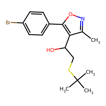 Cc1noc(-c2ccc(Br)cc2)c1C(O)CSC(C)(C)C